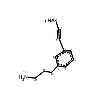 CCCCCCC#Cc1cccc(CCCN)c1